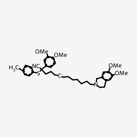 COc1ccc(C(C#N)(CCCCCCCCCCCN2CCc3cc(OC)c(OC)cc3C2)Sc2ccc(C)cc2)cc1OC